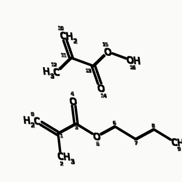 C=C(C)C(=O)OCCCC.C=C(C)C(=O)OO